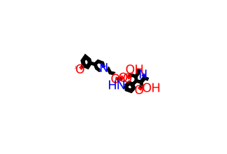 COc1cccc(C2CCN(CCCOC(=O)Nc3cccc(C4C(C(=O)O)=C(C)N=C(C)C4C(=O)O)c3)CC2)c1